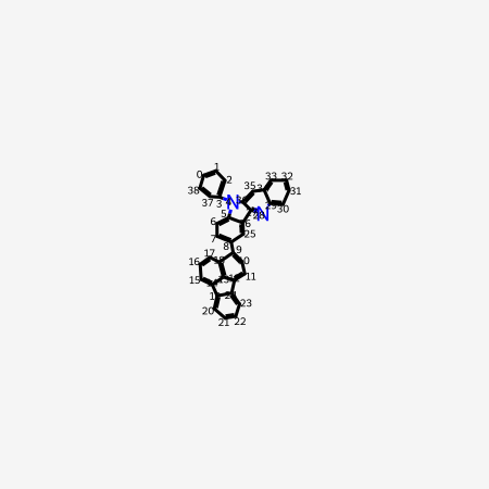 c1ccc(-n2c3ccc(-c4ccc5c6c(cccc46)-c4ccccc4-5)cc3c3nc4ccccc4cc32)cc1